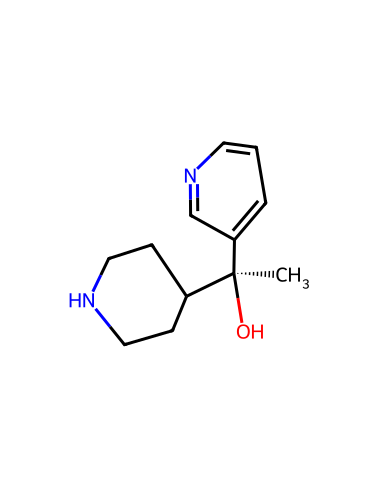 C[C@@](O)(c1cccnc1)C1CCNCC1